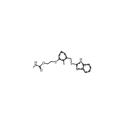 CNC(=O)OCCSc1cccc(CSc2nc3ccccc3[nH]2)c1C